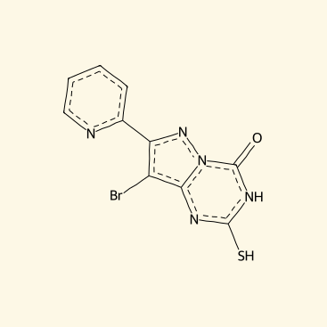 O=c1[nH]c(S)nc2c(Br)c(-c3ccccn3)nn12